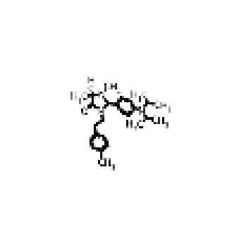 Cc1ccc(CCN2C(=O)C(C)(C)N(C)C2c2ccc(N(C(C)C)C(C)C)cc2)cc1